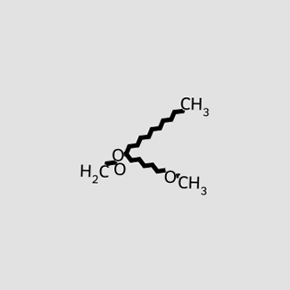 C=CC(=O)OC(CCCCCCCCCCC)CCCCCCOCC